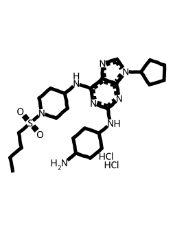 CCCCS(=O)(=O)N1CCC(Nc2nc(NC3CCC(N)CC3)nc3c2ncn3C2CCCC2)CC1.Cl.Cl